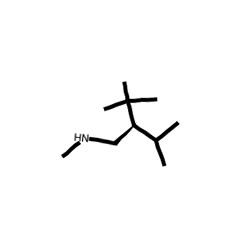 CNC[C@H](C(C)C)C(C)(C)C